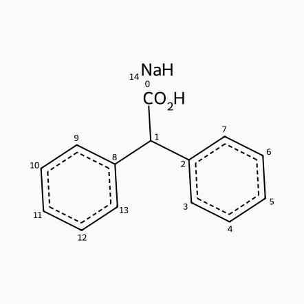 O=C(O)C(c1ccccc1)c1ccccc1.[NaH]